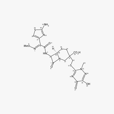 CON=C(C(=O)NC1C(=O)N2CC(CSc3nc(=O)c(O)nn3C)(C(=O)O)CS[C@H]12)c1csc(N)n1